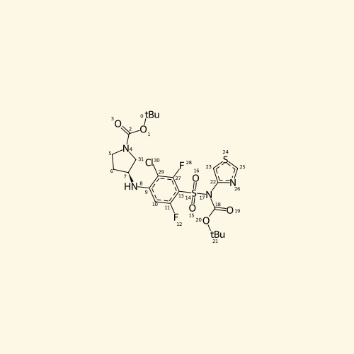 CC(C)(C)OC(=O)N1CC[C@H](Nc2cc(F)c(S(=O)(=O)N(C(=O)OC(C)(C)C)c3cscn3)c(F)c2Cl)C1